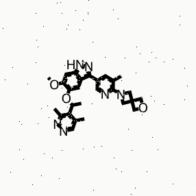 COc1cc2[nH]nc(-c3cnc(N4CC5(COC5)C4)c(C)c3)c2cc1OC(C)c1c(C)cnnc1C